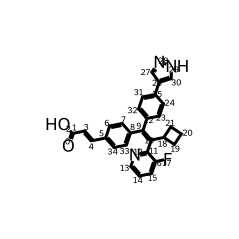 O=C(O)/C=C/c1ccc(/C(=C(\c2ncccc2F)C2CCC2)c2ccc(-c3cn[nH]c3)cc2)cc1